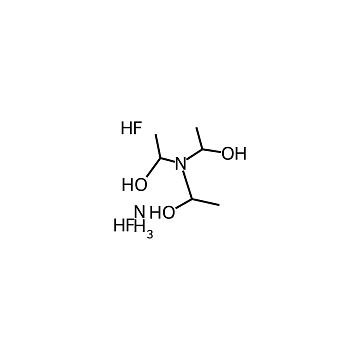 CC(O)N(C(C)O)C(C)O.F.F.N